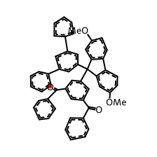 COc1ccc2c(c1)C(c1cc(C(=O)c3ccccc3)cc(C(=O)c3ccccc3)c1)(c1cc(-c3ccccc3)cc(-c3ccccc3)c1)c1cc(OC)ccc1-2